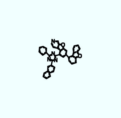 c1ccc(-c2nc(-c3ccc4ccccc4c3)nc(-c3cc(-c4cccc5oc6ccccc6c45)cc4oc5cnccc5c34)n2)cc1